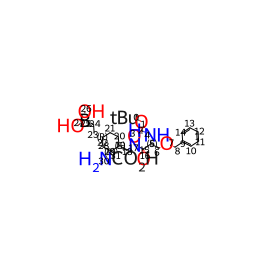 CC(C)(C)OC(=O)N[C@@H](COCc1ccccc1)C(=O)NC[C@@H]1CC[C@@H](CCB(O)O)C[C@]1(N)C(=O)O